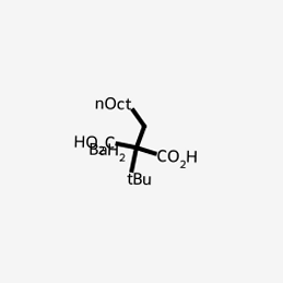 CCCCCCCCCC(C(=O)O)(C(=O)O)C(C)(C)C.[BaH2]